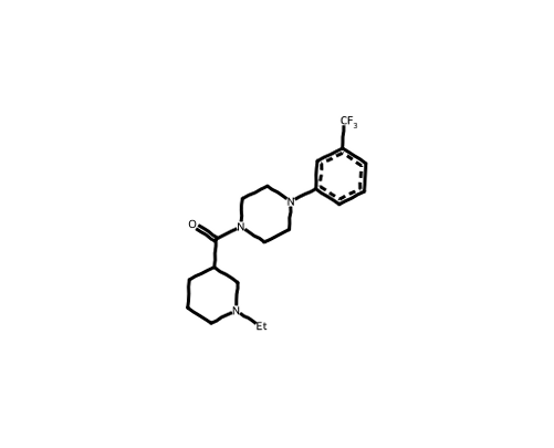 CCN1CCCC(C(=O)N2CCN(c3cccc(C(F)(F)F)c3)CC2)C1